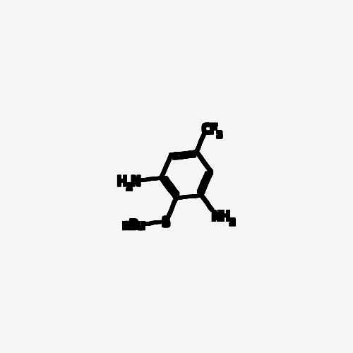 CCCCSc1c(N)cc(C(F)(F)F)cc1N